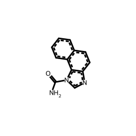 NC(=O)n1cnc2ccc3ccccc3c21